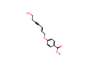 COC(=O)c1ccc(OC/C=C/C#CCCO)cc1